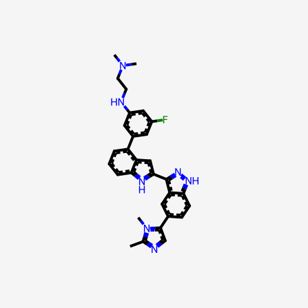 Cc1ncc(-c2ccc3[nH]nc(-c4cc5c(-c6cc(F)cc(NCCN(C)C)c6)cccc5[nH]4)c3c2)n1C